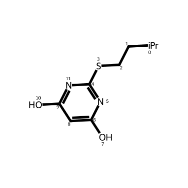 CC(C)CCSc1nc(O)cc(O)n1